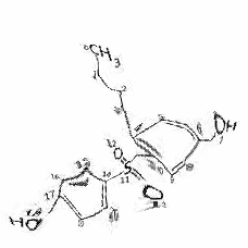 CCCCc1cc(O)ccc1S(=O)(=O)c1ccc(O)cc1